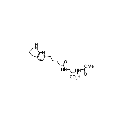 COC(=O)NC(CCNC(=O)CCCCc1ccc2c(n1)NCCC2)C(=O)O